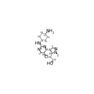 Cn1ncc(-c2nc(N[C@H]3CC[C@H](N)CC3)ncc2Cl)c1CCO